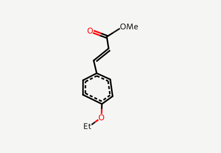 CCOc1ccc(C=CC(=O)OC)cc1